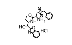 CCC(NC(=O)C(N)CS(=O)(=O)Cc1ccccc1)[C@H](O)c1nc2ccccc2o1.Cl